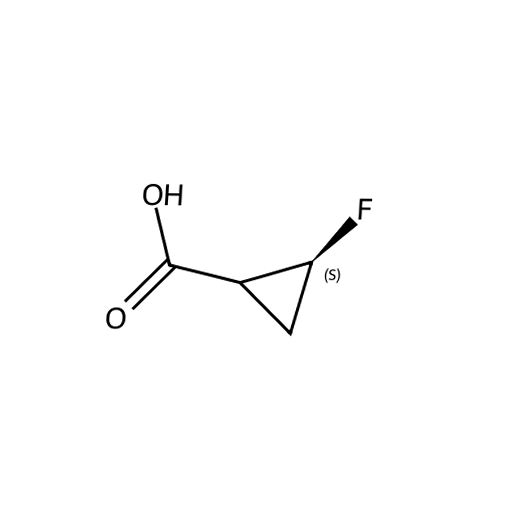 O=C(O)C1C[C@@H]1F